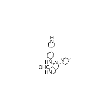 Cc1ccc(-c2cc3c(c(Nc4ccc(C5CCNCC5)cc4)n2)C(C=O)NC=C3)nc1